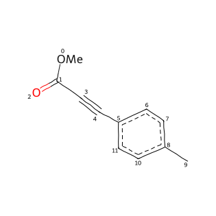 COC(=O)C#Cc1ccc(C)cc1